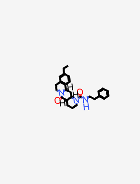 CCc1ccc2c(c1)CCN1C(=O)[C@H]3CCCN(C(=O)NCCc4ccccc4)[C@H]3C[C@@H]21